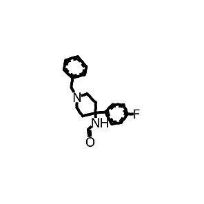 O=CNC1(c2ccc(F)cc2)CCN(Cc2ccccc2)CC1